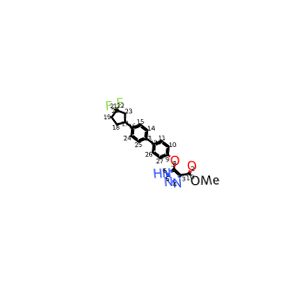 COC(=O)c1nn[nH]c1Oc1ccc(-c2ccc(C3CCC(F)(F)C3)cc2)cc1